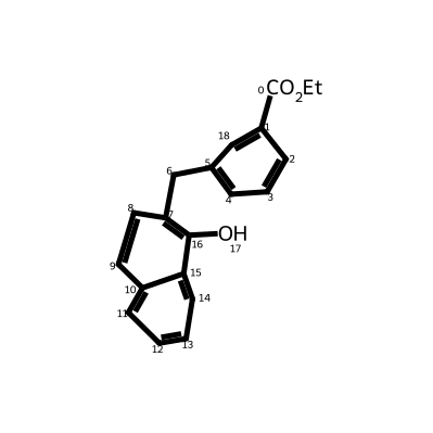 CCOC(=O)c1cccc(Cc2ccc3ccccc3c2O)c1